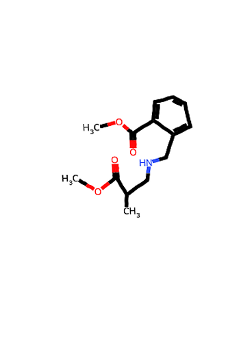 COC(=O)c1ccccc1CNCC(C)C(=O)OC